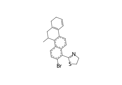 CC1CC2=C(C=CCC2)c2ccc3c(C4=NCCS4)c(Br)ccc3c21